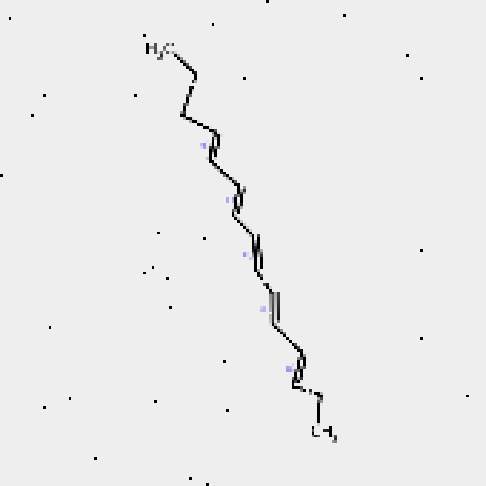 CC/C=C/C=C/C=C/C=C/C=C/CCC